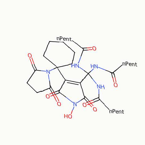 CCCCCC(=O)NC(NC(=O)CCCCC)(NC(=O)CCCCC)C1=C(C2(N3C(=O)CCC3=O)CCCCC2)C(=O)N(O)C1=O